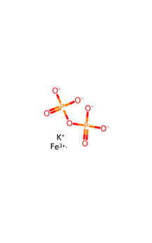 O=P([O-])([O-])OP(=O)([O-])[O-].[Fe+3].[K+]